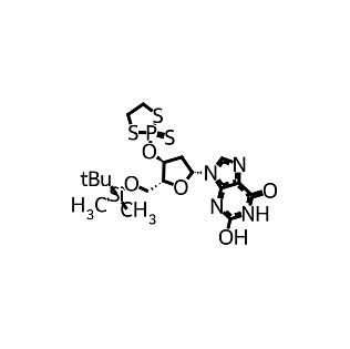 CC(C)(C)[Si](C)(C)OC[C@H]1O[C@@H](n2cnc3c(=O)[nH]c(O)nc32)C[C@@H]1OP1(=S)SCCS1